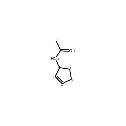 CC(=O)NC1C=CCC1